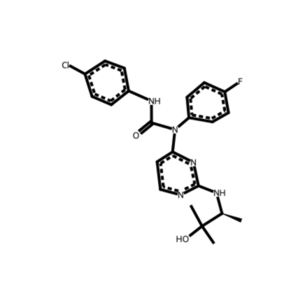 C[C@H](Nc1nccc(N(C(=O)Nc2ccc(Cl)cc2)c2ccc(F)cc2)n1)C(C)(C)O